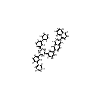 c1ccc(-c2cccc(-c3nc(-c4cccc(-c5ccccc5)c4)nc(-c4cccc(-c5ccc6cc(-c7cccc8ccccc78)ccc6c5)c4)n3)c2)cc1